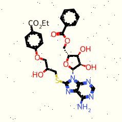 CCOC(=O)c1ccc(OCC(O)CSc2nc3c(N)ncnc3n2[C@@H]2O[C@H](COC(=O)c3ccccc3)[C@@H](O)[C@H]2O)cc1